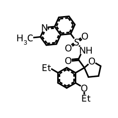 CCOc1ccc(CC)cc1C1(C(=O)NS(=O)(=O)c2cccc3nc(C)ccc23)CCCO1